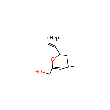 CCCCCCC/C=C/C1CC(C)C=C(CO)O1